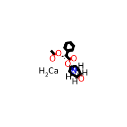 CC(=O)OC[C@@H](C(=O)O[C@@H]1C[C@@H]2[C@H]3O[C@H]3[C@H](C1)N2C)c1ccccc1.[CaH2]